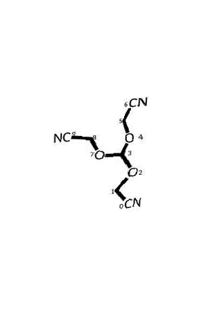 N#CCOC(OCC#N)OCC#N